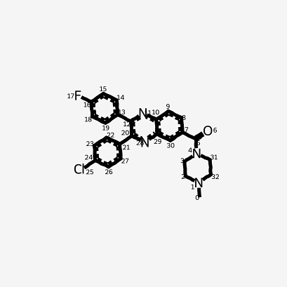 CN1CCN(C(=O)c2ccc3nc(-c4ccc(F)cc4)c(-c4ccc(Cl)cc4)nc3c2)CC1